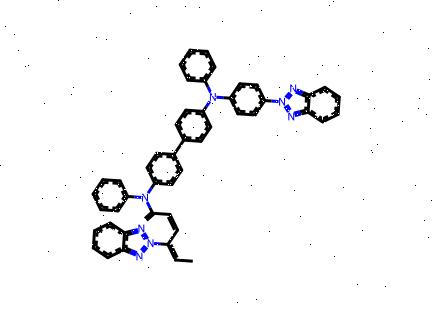 C=C(/C=C\C(=C/C)n1nc2ccccc2n1)N(c1ccccc1)c1ccc(-c2ccc(N(c3ccccc3)c3ccc(-n4nc5ccccc5n4)cc3)cc2)cc1